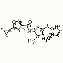 CC1CN(Cc2nccn2C)CC1NC(=O)c1cc(C2CC2)on1